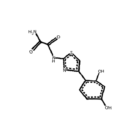 NC(=O)C(=O)Nc1nc(-c2ccc(O)cc2O)cs1